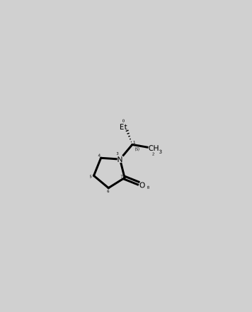 CC[C@H](C)N1CCCC1=O